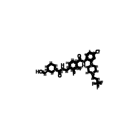 O=C(Nc1ccc(Cl)cc1N1CCN(CCC(F)(F)F)CC1)c1ccc(CNC(=O)N2CCC[C@H](CO)C2)c(F)c1F